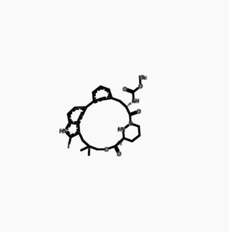 CC1(C)COC(=O)[C@@H]2CCCN(N2)C(=O)[C@@H](NC(=O)OC(C)(C)C)Cc2cccc(c2)-c2ccc3[nH]c(I)c(c3c2)C1